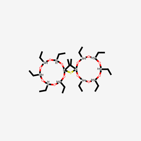 CC[SiH]1O[SiH](CC)O[SiH](CC)O[Si](CC)(S[Si]2(CC)O[SiH](CC)O[SiH](CC)O[SiH](CC)O[SiH](CC)O[SiH](CC)O2)O[SiH](CC)O[SiH](CC)O1